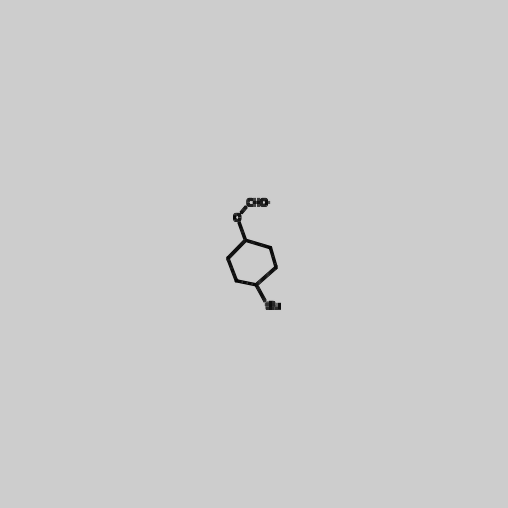 CC(C)(C)C1CCC(O[C]=O)CC1